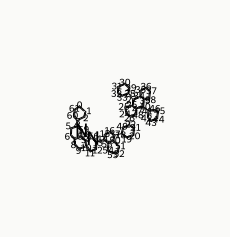 c1ccc(-c2ccc3ccc4ccc(-c5ccc(-c6cccc(-c7ccc8c(-c9ccccc9)c9ccccc9c(-c9ccccc9)c8c7)c6)c6ccccc56)nc4c3n2)cc1